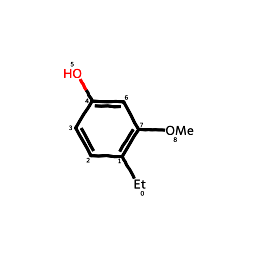 [CH2]Cc1ccc(O)cc1OC